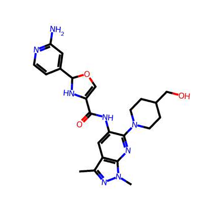 Cc1nn(C)c2nc(N3CCC(CO)CC3)c(NC(=O)C3=COC(c4ccnc(N)c4)N3)cc12